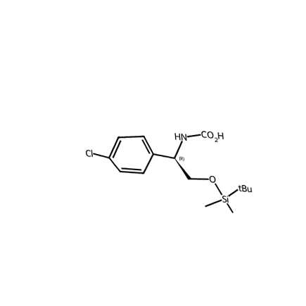 CC(C)(C)[Si](C)(C)OC[C@H](NC(=O)O)c1ccc(Cl)cc1